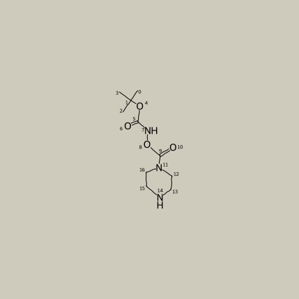 CC(C)(C)OC(=O)NOC(=O)N1CCNCC1